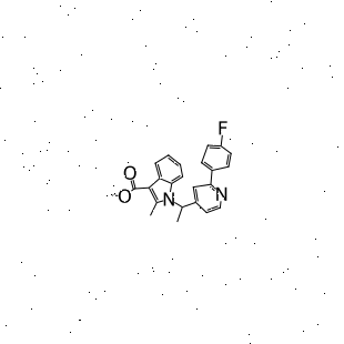 COC(=O)c1c(C)n(C(C)c2ccnc(-c3ccc(F)cc3)c2)c2ccccc12